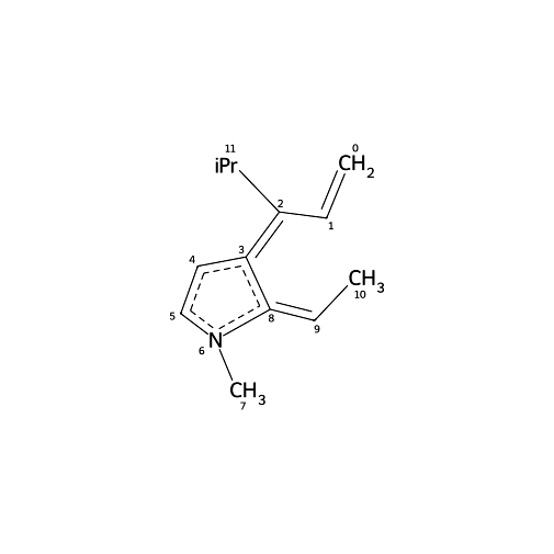 C=C/C(=c1/ccn(C)/c1=C/C)C(C)C